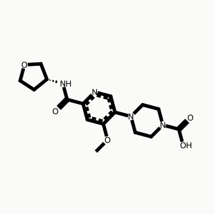 COc1cc(C(=O)N[C@@H]2CCOC2)ncc1N1CCN(C(=O)O)CC1